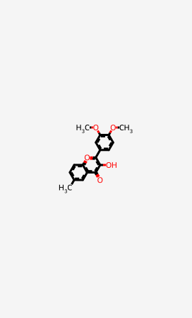 COc1ccc(-c2oc3ccc(C)cc3c(=O)c2O)cc1OC